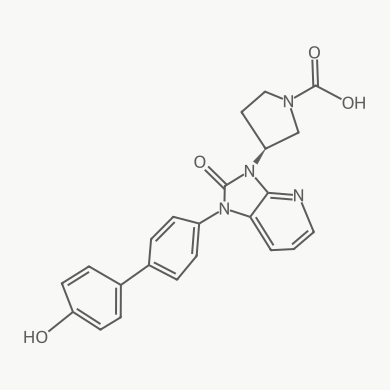 O=C(O)N1CC[C@H](n2c(=O)n(-c3ccc(-c4ccc(O)cc4)cc3)c3cccnc32)C1